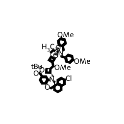 COc1ccc(CN(Cc2ccc(OC)cc2)S(=O)(=O)[C@@H](C)C[C@H]2C=C([C@H](OC)[C@@H]3CC[C@H]3CN3C[C@@]4(CCCc5cc(Cl)ccc54)COc4ccc(C(=O)OC(C)(C)C)cc43)C2)cc1